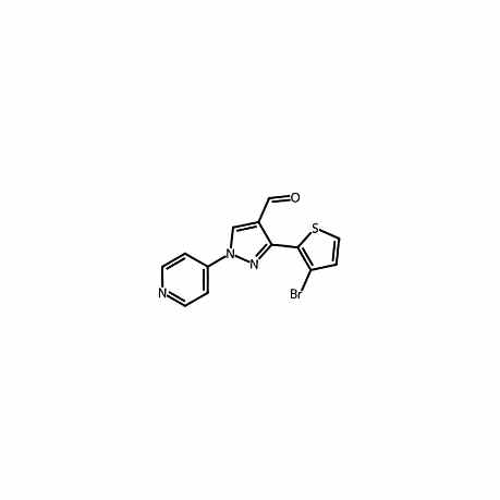 O=Cc1cn(-c2ccncc2)nc1-c1sccc1Br